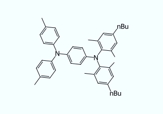 CCCCc1cc(C)c(N(c2ccc(N(c3ccc(C)cc3)c3ccc(C)cc3)cc2)c2c(C)cc(CCCC)cc2C)c(C)c1